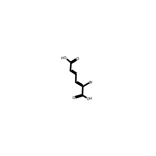 O=C(O)C=CC=C(Br)C(=O)O